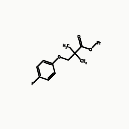 CC(C)OC(=O)C(C)(C)COc1ccc(F)cc1